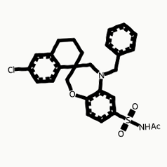 CC(=O)NS(=O)(=O)c1ccc2c(c1)N(Cc1ccccc1)CC1(CCCc3cc(Cl)ccc31)CO2